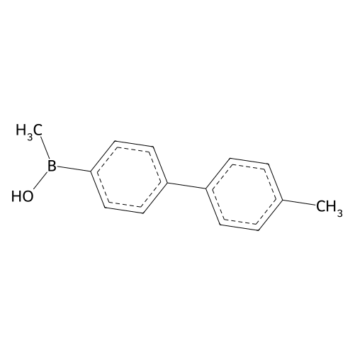 CB(O)c1ccc(-c2ccc(C)cc2)cc1